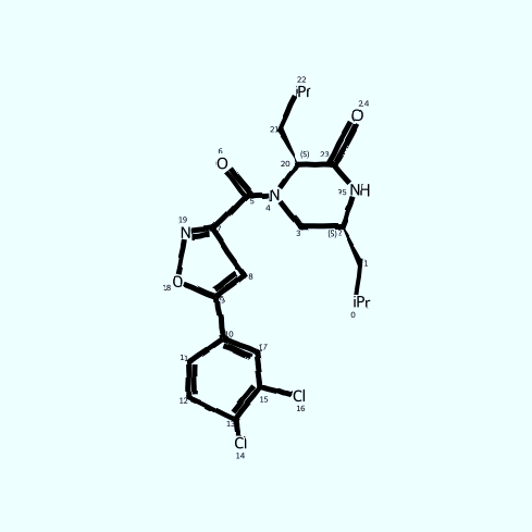 CC(C)C[C@H]1CN(C(=O)c2cc(-c3ccc(Cl)c(Cl)c3)on2)[C@@H](CC(C)C)C(=O)N1